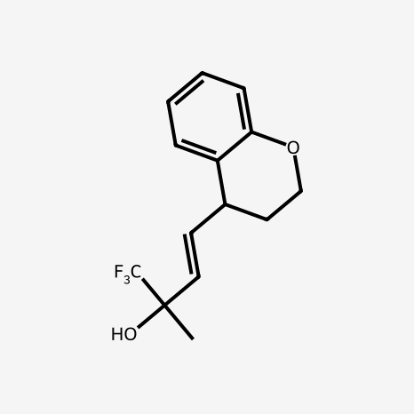 CC(O)(C=CC1CCOc2ccccc21)C(F)(F)F